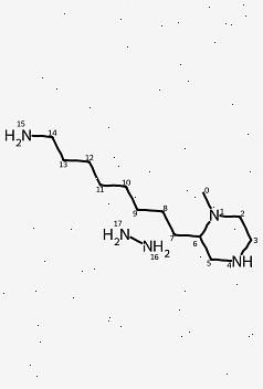 CN1CCNCC1CCCCCCCCN.NN